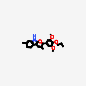 CCCOc1c(OC)cc(C(=O)C(C)=Cc2c[nH]c3cc(C)ccc23)cc1OC